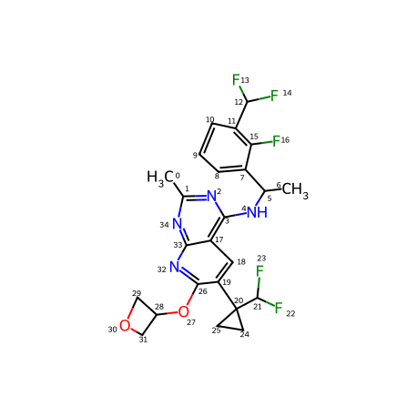 Cc1nc(NC(C)c2cccc(C(F)F)c2F)c2cc(C3(C(F)F)CC3)c(OC3COC3)nc2n1